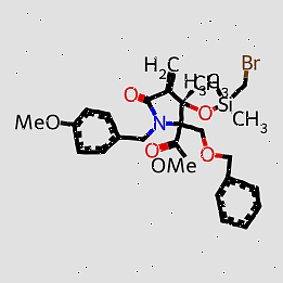 C=C1C(=O)N(Cc2ccc(OC)cc2)C(COCc2ccccc2)(C(=O)OC)[C@@]1(C)O[Si](C)(C)CBr